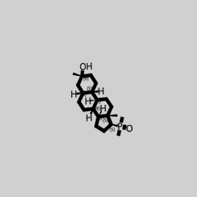 C[C@@]1(O)CC[C@H]2[C@H](CC[C@@H]3[C@@H]2CC[C@@]2(C)[C@H]3CC[C@@H]2P(C)(C)=O)C1